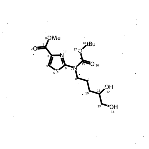 COC(=O)c1csc(N(CCCC(O)CO)C(=O)OC(C)(C)C)n1